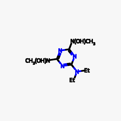 CCN(CC)c1nc(N(C)O)nc(N(C)O)n1